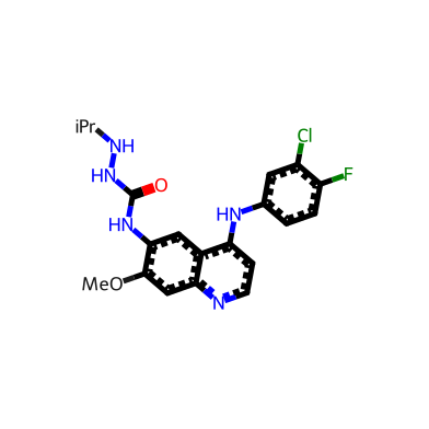 COc1cc2nccc(Nc3ccc(F)c(Cl)c3)c2cc1NC(=O)NNC(C)C